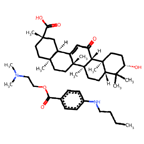 CC1(C)[C@@H](O)CC[C@]2(C)[C@H]3C(=O)C=C4[C@@H]5C[C@@](C)(C(=O)O)CC[C@]5(C)CC[C@@]4(C)[C@]3(C)CC[C@@H]12.CCCCNc1ccc(C(=O)OCCN(C)C)cc1